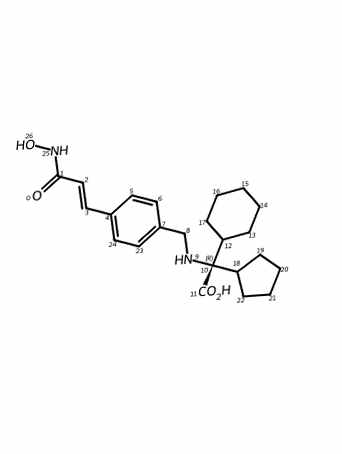 O=C(C=Cc1ccc(CN[C@](C(=O)O)(C2CCCCC2)C2CCCC2)cc1)NO